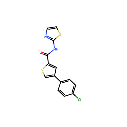 O=C(Nc1nccs1)c1cc(-c2ccc(Cl)cc2)cs1